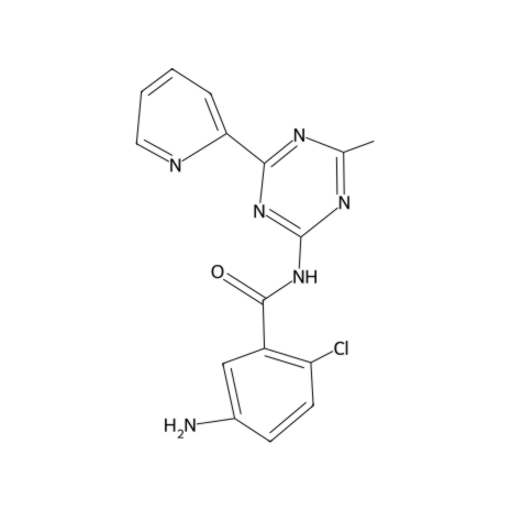 Cc1nc(NC(=O)c2cc(N)ccc2Cl)nc(-c2ccccn2)n1